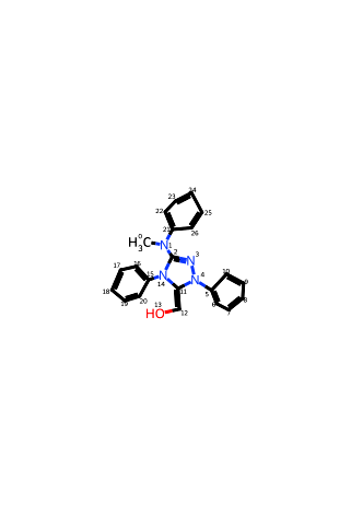 CN(C1=NN(c2ccccc2)C(=CO)N1c1ccccc1)c1ccccc1